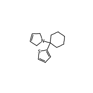 C1=CCN(C2(c3cccs3)CCCCC2)C1